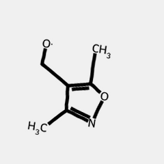 Cc1noc(C)c1C[O]